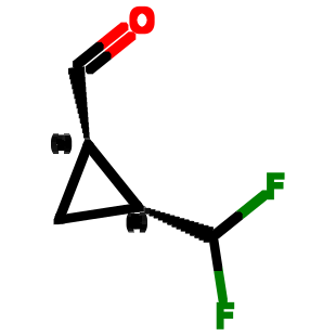 O=C[C@H]1C[C@H]1C(F)F